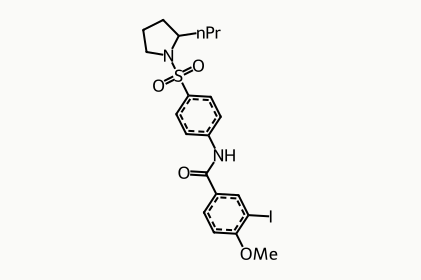 CCCC1CCCN1S(=O)(=O)c1ccc(NC(=O)c2ccc(OC)c(I)c2)cc1